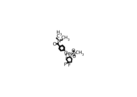 CCN(CC)C(=O)c1ccc(OC[C@H]2CC(F)(F)CC[C@@H]2NS(C)(=O)=O)cc1